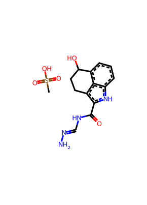 CS(=O)(=O)O.NN=CNC(=O)c1[nH]c2cccc3c2c1CCC3O